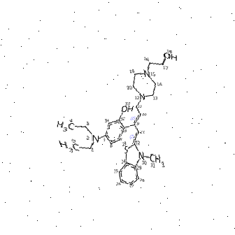 CCN(CC)c1ccc(C(=C\CN2CCN(CCO)CC2)/C=C2\Sc3ccccc3N2C)c(O)c1